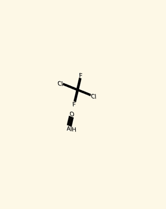 FC(F)(Cl)Cl.[O]=[AlH]